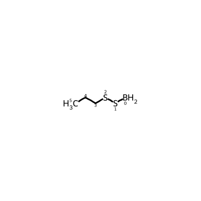 BSSCCC